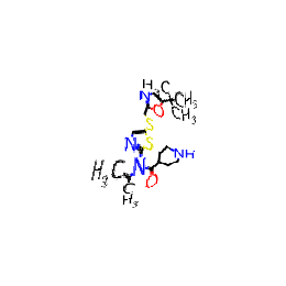 CC(C)N(C(=O)C1CCNCC1)c1ncc(SCc2ncc(C(C)(C)C)o2)s1